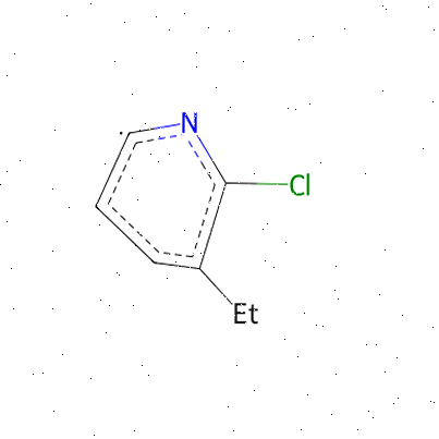 CCc1cc[c]nc1Cl